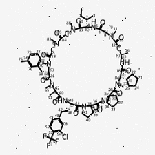 CCC(C)[C@@H]1NC(=O)[C@H](C)N(C)C(=O)C[C@@H](C)NC(=O)[C@H](C2CCCC2)N(C)C(=O)C2(CCCC2)NC(=O)[C@@H]2CCCN2C(=O)[C@H](CCc2ccc(C(F)(F)F)c(Cl)c2)NC(=O)[C@@H](C)N(C)C(=O)[C@H](Cc2cccc(C)c2)N(C)C(=O)CN(C)C(=O)CN(C)C1=O